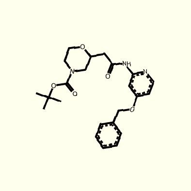 CC(C)(C)OC(=O)N1CCOC(CC(=O)Nc2cc(OCc3ccccc3)ccn2)C1